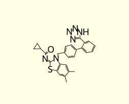 Cc1cc2sc(=NC(=O)C3CC3)n(Cc3ccc(-c4ccccc4-c4nnn[nH]4)cc3)c2cc1C